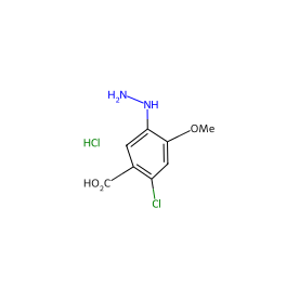 COc1cc(Cl)c(C(=O)O)cc1NN.Cl